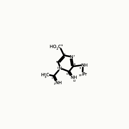 CC(=N)n1cc(C(=O)O)nc(NC(C)C)c1=N